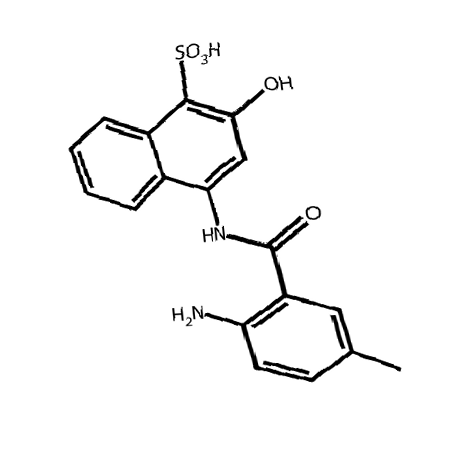 Cc1ccc(N)c(C(=O)Nc2cc(O)c(S(=O)(=O)O)c3ccccc23)c1